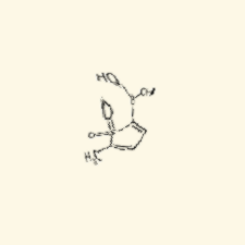 CC1=CC=C(B(O)O)S1(=O)=O